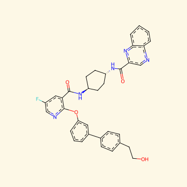 O=C(N[C@H]1CC[C@H](NC(=O)c2cc(F)cnc2Oc2cccc(-c3ccc(CCO)cc3)c2)CC1)c1cnc2ccccc2n1